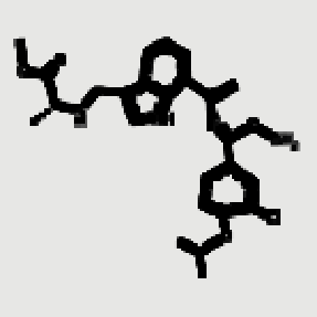 C=C(/N=C(\ON)c1ccc(OC(C)C)c(Cl)c1)c1cccc2c(CN[C@H](C)C(=O)OC)c[nH]c12